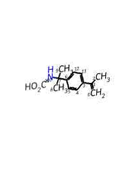 C=C(C)c1ccc(C(C)(C)NC(=O)O)cc1